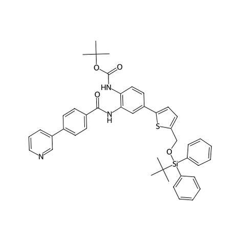 CC(C)(C)OC(=O)Nc1ccc(-c2ccc(CO[Si](c3ccccc3)(c3ccccc3)C(C)(C)C)s2)cc1NC(=O)c1ccc(-c2cccnc2)cc1